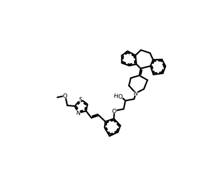 COCc1nc(C=Cc2ccccc2OCC(O)CN2CCC(=C3c4ccccc4CCc4ccccc43)CC2)cs1